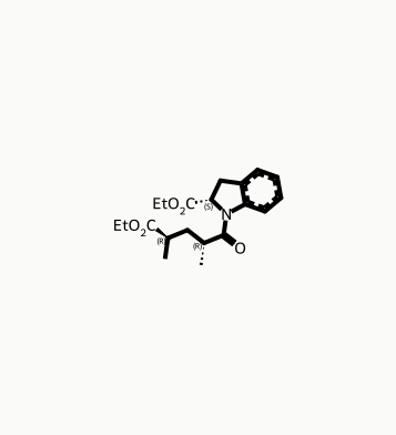 CCOC(=O)[C@H](C)C[C@@H](C)C(=O)N1c2ccccc2C[C@H]1C(=O)OCC